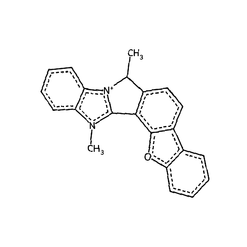 CC1c2ccc3c(oc4ccccc43)c2-c2n(C)c3ccccc3[n+]21